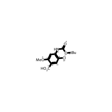 COc1cc(NC(=O)OC(C)(C)C)c(Cl)cc1C(=O)O